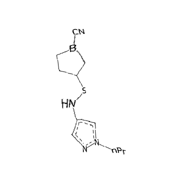 CCCn1cc(NSC2CCB(C#N)C2)cn1